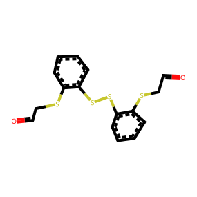 O=CCSc1ccccc1SSc1ccccc1SCC=O